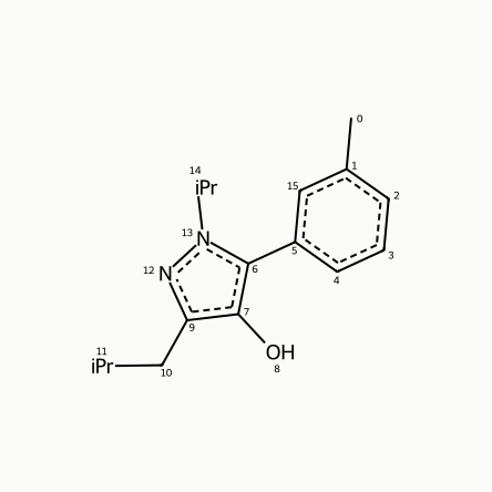 Cc1cccc(-c2c(O)c(CC(C)C)nn2C(C)C)c1